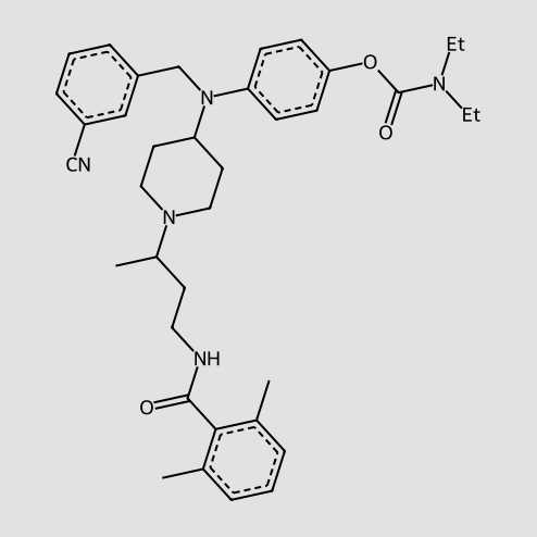 CCN(CC)C(=O)Oc1ccc(N(Cc2cccc(C#N)c2)C2CCN(C(C)CCNC(=O)c3c(C)cccc3C)CC2)cc1